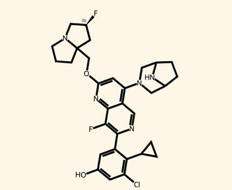 Oc1cc(Cl)c(C2CC2)c(-c2ncc3c(N4CC5CCC(C4)N5)cc(OCC45CCCN4C[C@@H](F)C5)nc3c2F)c1